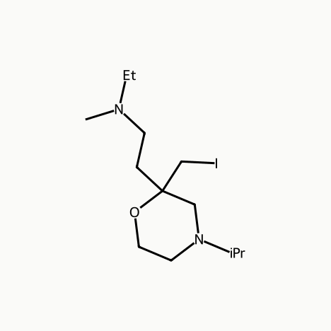 CCN(C)CCC1(CI)CN(C(C)C)CCO1